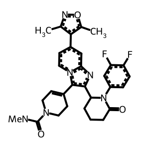 CNC(=O)N1CC=C(c2c(C3CCCC(=O)N3c3ccc(F)c(F)c3)nc3cc(-c4c(C)noc4C)ccn23)CC1